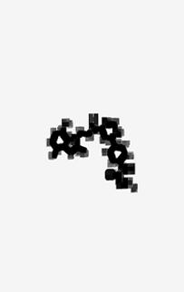 Cc1ccc(F)c2c1cc(C)n2CCNc1cc(-c2ccc(NC(N)=O)cc2)ncn1